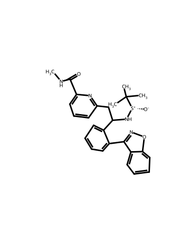 CNC(=O)c1cccc(CC(N[S@@+]([O-])C(C)(C)C)c2ccccc2-c2noc3ccccc23)n1